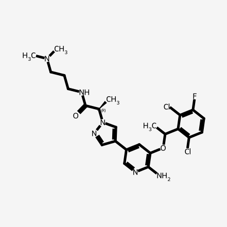 CC(Oc1cc(-c2cnn([C@H](C)C(=O)NCCCN(C)C)c2)cnc1N)c1c(Cl)ccc(F)c1Cl